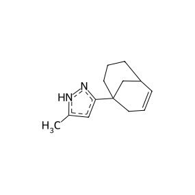 Cc1cc(C23CC=CC(CCC2)C3)n[nH]1